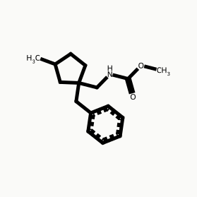 COC(=O)NCC1(Cc2ccccc2)CCC(C)C1